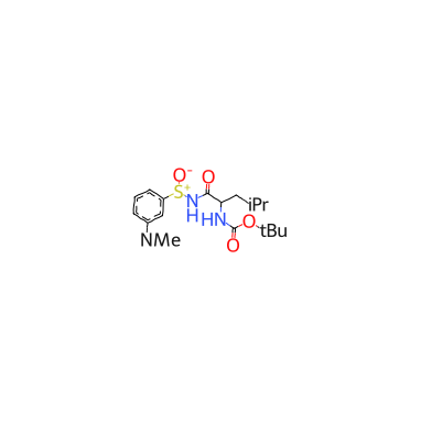 CNc1cccc([S+]([O-])NC(=O)C(CC(C)C)NC(=O)OC(C)(C)C)c1